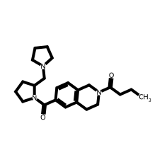 CCCC(=O)N1CCc2cc(C(=O)N3CCCC3CN3CCCC3)ccc2C1